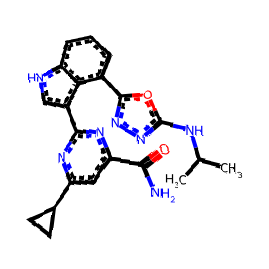 CC(C)Nc1nnc(-c2cccc3[nH]cc(-c4nc(C(N)=O)cc(C5CC5)n4)c23)o1